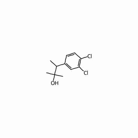 CC(c1ccc(Cl)c(Cl)c1)C(C)(C)O